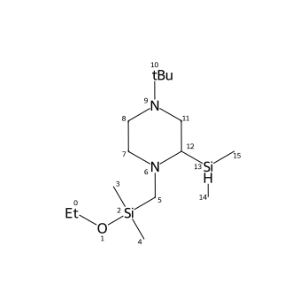 CCO[Si](C)(C)CN1CCN(C(C)(C)C)CC1[SiH](C)C